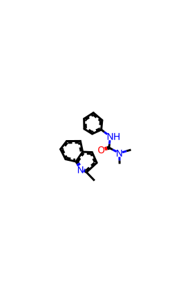 CN(C)C(=O)Nc1ccccc1.Cc1ccc2ccccc2n1